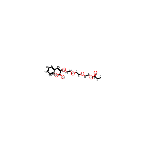 CCC(=O)OCCOCCOCCOc1cc2ccccc2oc1=O